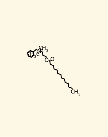 CCCCCCCCCCCCCC(=O)OCCC[N+](C)(C)Cc1ccccc1